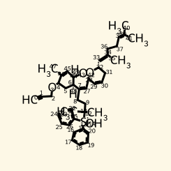 C#CCOC1C[C@@H]2C(CCC(C)(C)[Si](O)(c3ccccc3)c3ccccc3)=C[C@]3(C=CC[C@@H](/C=C(\C)CCC=C(C)C)O3)O[C@@H]2C=C1C